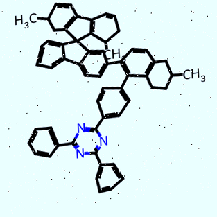 CC1C=CC2=C(C1)C1(C3=C2C=CCC3C)c2ccccc2-c2ccc(-c3ccc4c(c3-c3ccc(-c5nc(-c6ccccc6)nc(-c6ccccc6)n5)cc3)CCC(C)C4)cc21